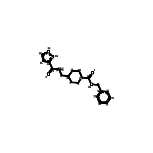 O=C(NCC1CCN(C(=O)OCc2ccccc2)CC1)c1ccon1